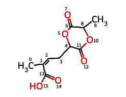 CC(=CCC1OC(=O)C(C)OC1=O)C(=O)O